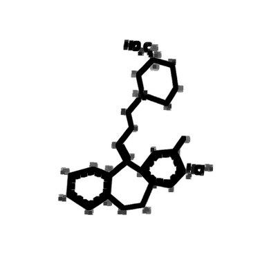 Cc1ccc2c(c1)C(=CCCN1CCC[C@@H](C(=O)O)C1)c1ccccc1CC2.Cl